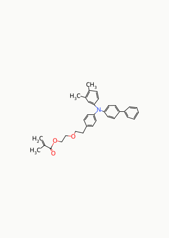 C=C(C)C(=O)OCCOCCc1ccc(N(c2ccc(-c3ccccc3)cc2)c2ccc(C)c(C)c2)cc1